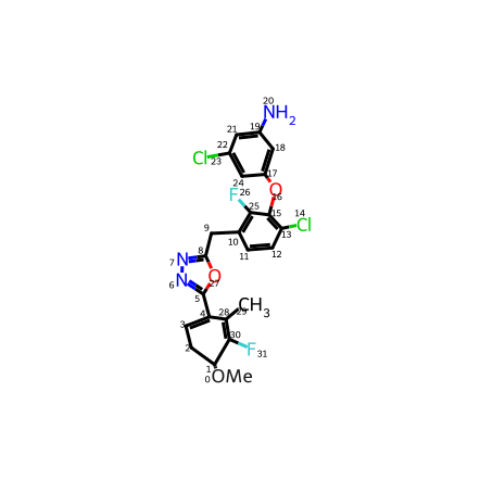 COC1CC=C(c2nnc(Cc3ccc(Cl)c(Oc4cc(N)cc(Cl)c4)c3F)o2)C(C)=C1F